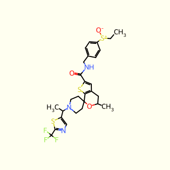 CC[S+]([O-])c1ccc(CNC(=O)c2cc3c(s2)C2(CCN(C(C)c4cnc(C(F)(F)F)s4)CC2)OC(C)C3)cc1